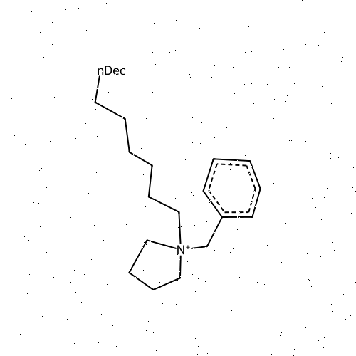 CCCCCCCCCCCCCCCC[N+]1(Cc2ccccc2)CCCC1